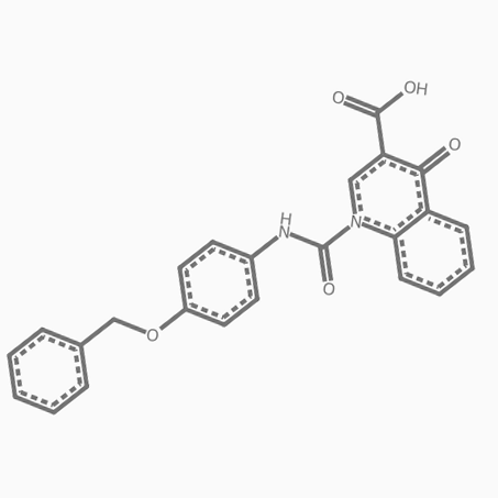 O=C(O)c1cn(C(=O)Nc2ccc(OCc3ccccc3)cc2)c2ccccc2c1=O